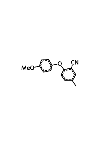 COc1ccc(Oc2ccc(C)cc2C#N)cc1